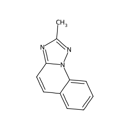 Cc1nc2ccc3ccccc3n2n1